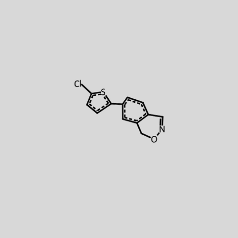 Clc1ccc(-c2ccc3c(c2)CON=C3)s1